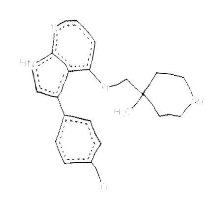 CC1(COc2ccnc3[nH]cc(-c4ccc(Cl)cc4)c23)CCNCC1